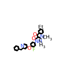 CCc1ccc2c(c1)c(=O)c(C(=O)Nc1ccc(Oc3ccnc(Cc4ccccc4)c3)c(F)c1)c(C)n2C